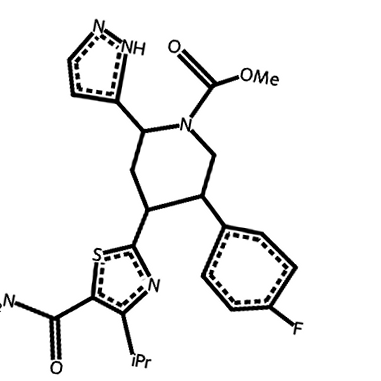 COC(=O)N1CC(c2ccc(F)cc2)C(c2nc(C(C)C)c(C(N)=O)s2)CC1c1ccn[nH]1